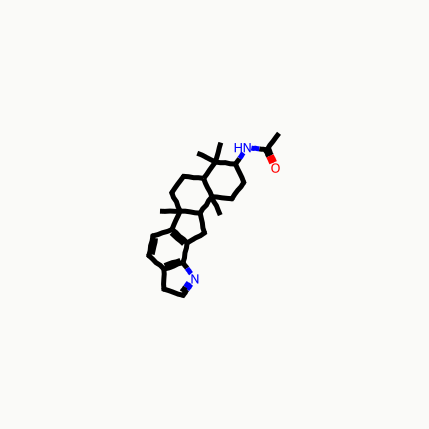 CC(=O)NC1CCC2(C)C3Cc4c(ccc5c4N=CC5)C3(C)CCC2C1(C)C